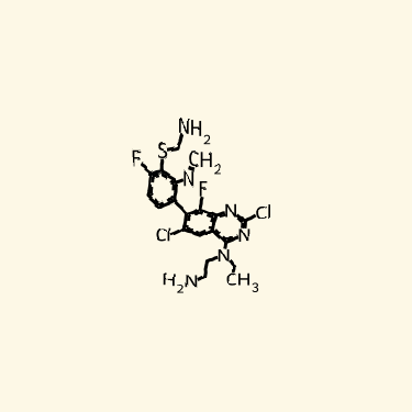 C=Nc1c(-c2c(Cl)cc3c(N(CC)CCN)nc(Cl)nc3c2F)ccc(F)c1SCN